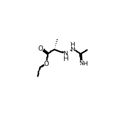 CCOC(=O)[C@H](C)NNC(C)=N